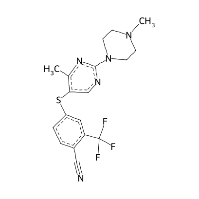 Cc1nc(N2CCN(C)CC2)ncc1Sc1ccc(C#N)c(C(F)(F)F)c1